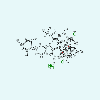 Cl.Cl.[CH2]=[Zr]([C]1=CC(C(C)(C)C)=CC1CC)([c]1cccc(Cl)c1)([c]1cccc(Cl)c1)[c]1c(-c2c(C)cc(C)cc2C)ccc2c1Cc1cc(-c3c(C)cc(C)cc3C)ccc1-2